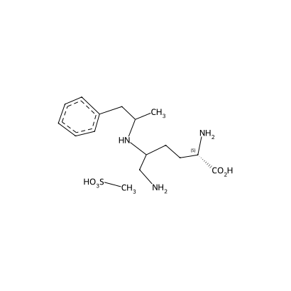 CC(Cc1ccccc1)NC(CN)CC[C@H](N)C(=O)O.CS(=O)(=O)O